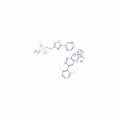 CC1(C)[C@H]2CC[C@]1(c1cncc(-c3nc(CCS(C)(=O)=O)co3)n1)c1nnc(-c3c(F)cccc3F)cc12